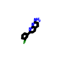 Nc1ccc2ccc(-c3cccc(F)c3)nc2n1